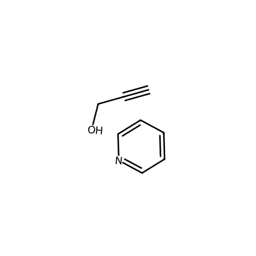 C#CCO.c1ccncc1